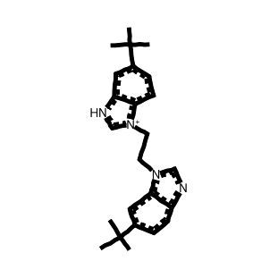 CC(C)(C)c1ccc2c(c1)[nH]c[n+]2CCn1cnc2ccc(C(C)(C)C)cc21